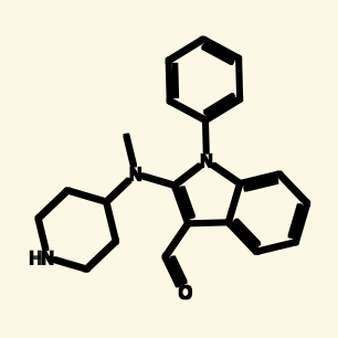 CN(c1c(C=O)c2ccccc2n1-c1ccccc1)C1CCNCC1